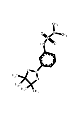 CN(C)S(=O)(=O)Nc1cccc(B2OC(C)(C)C(C)(C)O2)c1